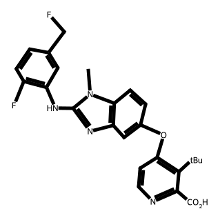 Cn1c(Nc2cc(CF)ccc2F)nc2cc(Oc3ccnc(C(=O)O)c3C(C)(C)C)ccc21